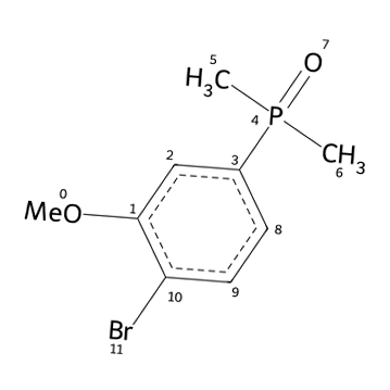 COc1cc(P(C)(C)=O)ccc1Br